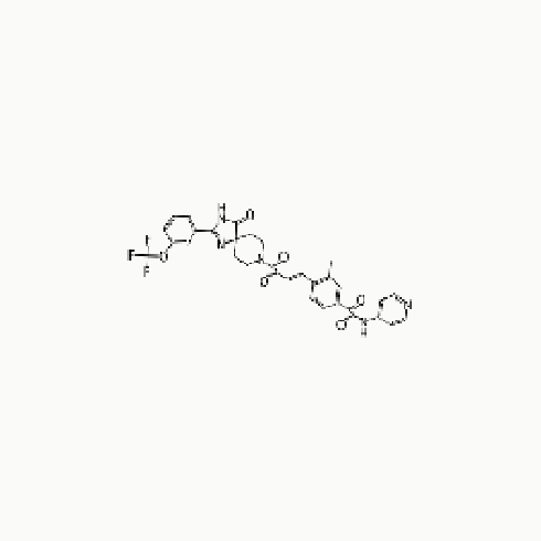 Cc1cc(S(=O)(=O)Nc2ccncc2)ccc1C=CS(=O)(=O)N1CCC2(CC1)N=C(c1cccc(OC(F)(F)F)c1)NC2=O